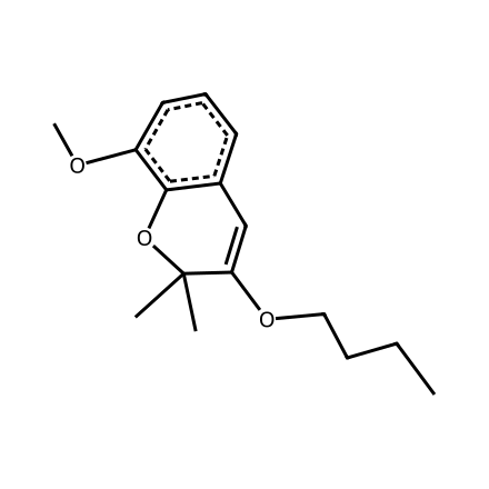 CCCCOC1=Cc2cccc(OC)c2OC1(C)C